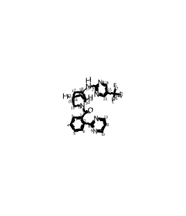 O=C(c1ccccc1-c1ncccn1)N1C[C@H]2C[C@@H](Nc3ncc(C(F)(F)F)cn3)[C@@H]1C2